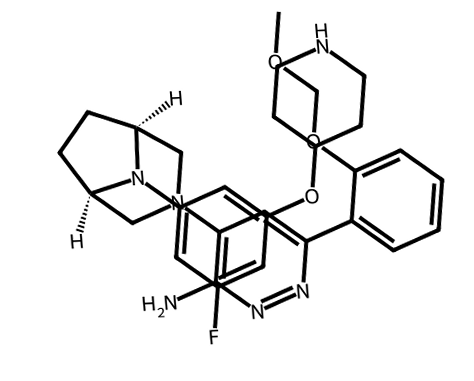 COCOc1ccccc1-c1cc(N2C[C@H]3CC[C@@H](C2)N3c2cc(F)cc(OC3CCNCC3)c2)c(N)nn1